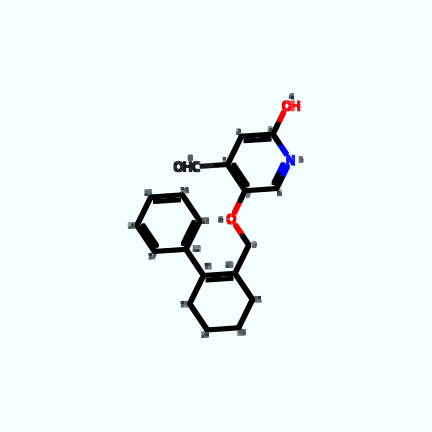 O=Cc1cc(O)ncc1OCC1=C(c2ccccc2)CCCC1